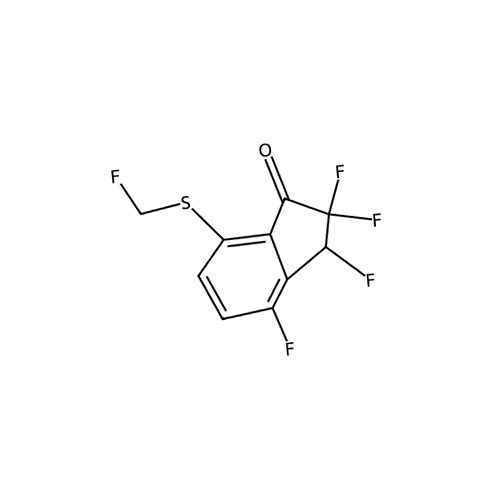 O=C1c2c(SCF)ccc(F)c2C(F)C1(F)F